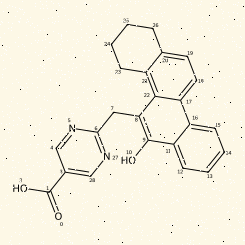 O=C(O)c1cnc(Cc2c(O)c3ccccc3c3ccc4c(c23)CCCC4)nc1